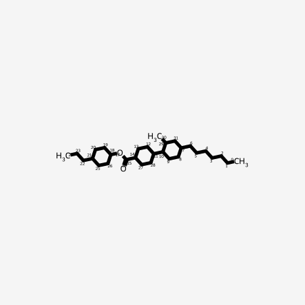 CCCCCCCC1CCC(C2CCC(C(=O)OC3CCC(CCC)CC3)CC2)C(C)C1